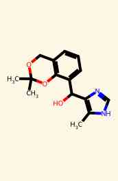 Cc1[nH]cnc1C(O)c1cccc2c1OC(C)(C)OC2